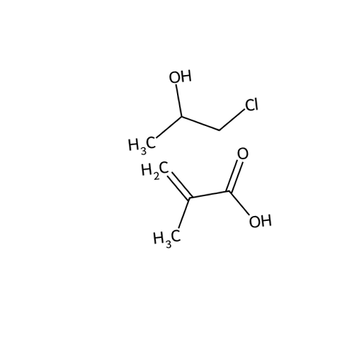 C=C(C)C(=O)O.CC(O)CCl